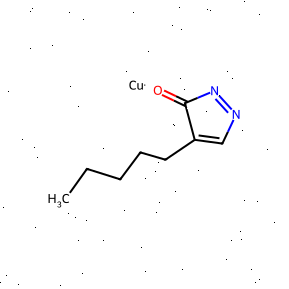 CCCCCC1=CN=NC1=O.[Cu]